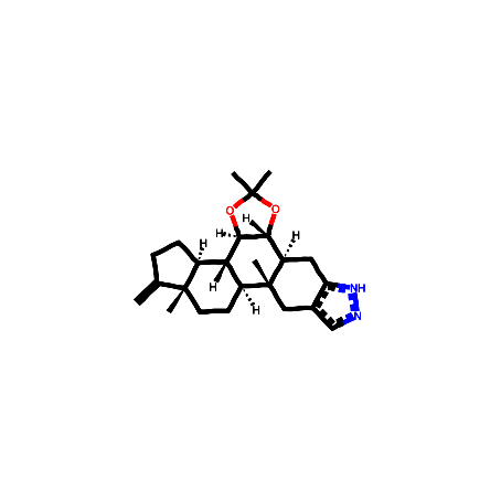 C=C1CC[C@H]2[C@@H]3[C@H]4OC(C)(C)O[C@@H]4[C@H]4Cc5[nH]ncc5C[C@]4(C)[C@H]3CC[C@]12C